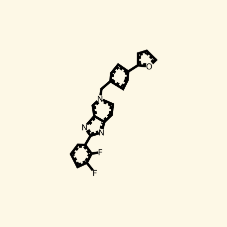 Fc1cccc(-c2nc3ccn(Cc4ccc(-c5ccco5)cc4)cc-3n2)c1F